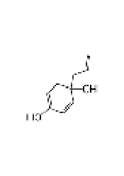 C=CCC1(O)C=CC(O)=CC1